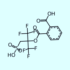 O=C(O)c1ccccc1C(=O)OC(CS(=O)(=O)O)(C(F)(F)F)C(F)(F)F